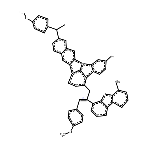 CC(C)c1ccc2c3c(C/C(=C/c4ccc(OC(F)(F)F)cc4)c4cccc5c4oc4c(C(C)(C)C)cccc45)ccc4c5cc6ccc(C(C)c7ccc(OC(F)(F)F)cc7)cc6cc5n(c2c1)c43